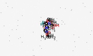 CC(C)N(C(=O)c1cc2c(cc1C(F)(F)F)OC(C)(C)C(=O)N2C[C@H](C)C(=O)O)[C@@H]1CCCN(C(=O)OC(C)(C)C)C1